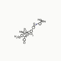 COc1ccc2c(c1)C(c1ccc(Cl)cc1)=NCC(=NN(Cc1cccc(C3CCN(C(=O)/C=C/c4cccc(B(O)O)c4)CC3)c1)C(C)=O)N2C(C)=N